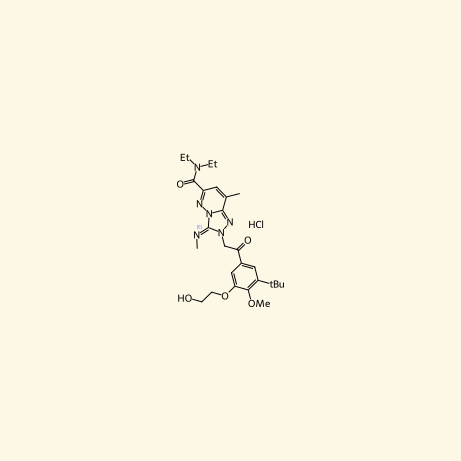 CCN(CC)C(=O)c1cc(C)c2nn(CC(=O)c3cc(OCCO)c(OC)c(C(C)(C)C)c3)/c(=N\C)n2n1.Cl